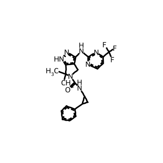 CC1(C)c2[nH]nc(Nc3nccc(C(F)(F)F)n3)c2CN1C(=O)NC1CC1c1ccccc1